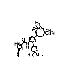 CC1(C)CC=C(c2nc([C@@H]3CC[C@](C)(CO)COC(C)(C)C3)ccc2NC(=O)c2nc(C#N)c[nH]2)CC1